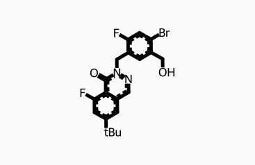 CC(C)(C)c1cc(F)c2c(=O)n(Cc3cc(CO)c(Br)cc3F)ncc2c1